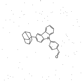 O=Cc1ccc(-n2c3ccccc3c3cc(C45CC6CC(CC(C6)C4)C5)ccc32)cc1